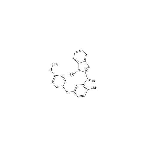 COc1ccc(Oc2ccc3[nH]nc(-c4nc5ccccc5n4C)c3c2)cc1